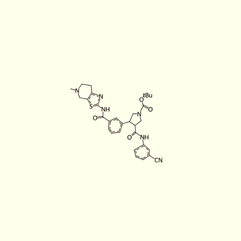 CN1CCc2nc(NC(=O)c3cccc(C4CN(C(=O)OC(C)(C)C)CC4C(=O)Nc4cccc(C#N)c4)c3)sc2C1